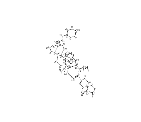 CC1C(C2=CCC3(CCOC3=O)CC2)=CCC2(C)C1CCC1(C)C2CCC2C3CCCC3(NCCN3CCSCC3)CC[C@]21C